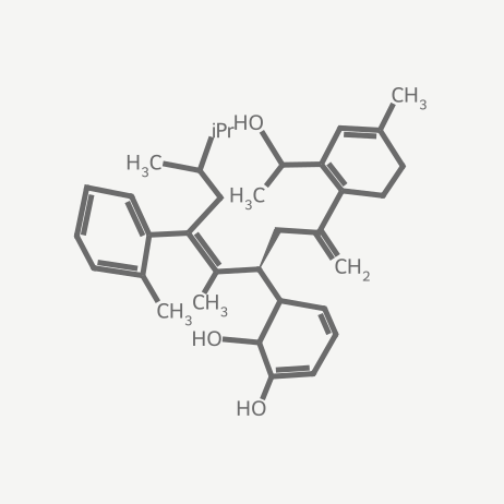 C=C(C[C@H](/C(C)=C(\CC(C)C(C)C)c1ccccc1C)C1C=CC=C(O)C1O)C1=C(C(C)O)C=C(C)CC1